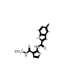 CCOC(=O)NC(=O)c1ccsc1NC(=O)c1cc2cc(C)ccc2s1